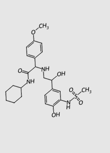 COc1ccc(C(NCC(O)c2ccc(O)c(NS(C)(=O)=O)c2)C(=O)NC2CCCCC2)cc1